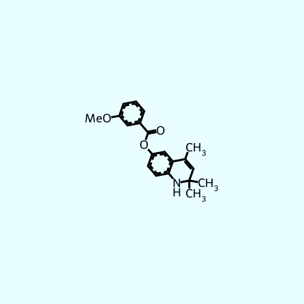 COc1cccc(C(=O)Oc2ccc3c(c2)C(C)=CC(C)(C)N3)c1